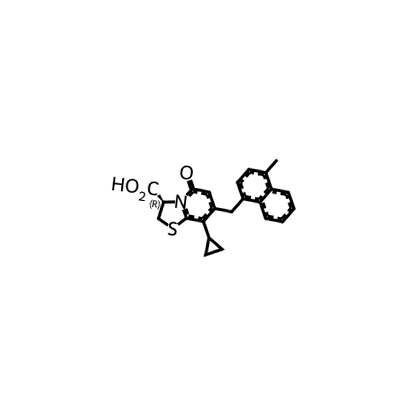 Cc1ccc(Cc2cc(=O)n3c(c2C2CC2)SC[C@H]3C(=O)O)c2ccccc12